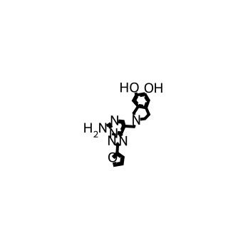 Nc1ncc(CN2CCc3cc(O)c(O)cc3C2)c2nc(-c3ccco3)nn12